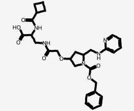 O=C(COC1CC(CNc2ccccn2)N(C(=O)OCc2ccccc2)C1)NCC(NC(=O)C1CCC1)C(=O)O